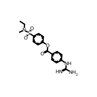 CCN(C)S(=O)(=O)c1ccc(OC(=O)c2ccc(NC(=N)N)cc2)cc1